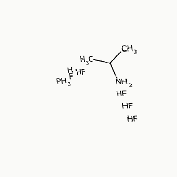 CC(C)N.F.F.F.F.F.P